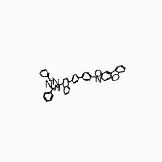 c1ccc(-c2nc(-c3ccccc3)nc(-c3ccc(-c4ccc(-c5ccc(-c6nc7cc8oc9ccccc9c8cc7o6)cc5)cc4)c4ccccc34)n2)cc1